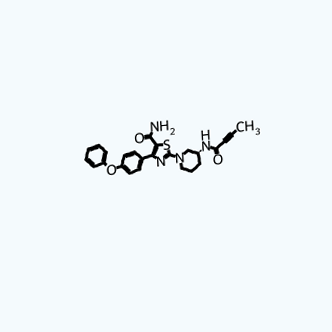 CC#CC(=O)N[C@@H]1CCCN(c2nc(-c3ccc(Oc4ccccc4)cc3)c(C(N)=O)s2)C1